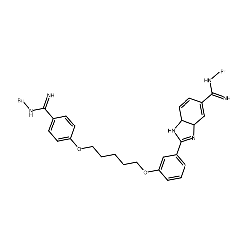 CCC(C)NC(=N)c1ccc(OCCCCCOc2cccc(C3=NC4C=C(C(=N)NC(C)C)C=CC4N3)c2)cc1